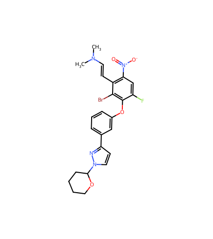 CN(C)/C=C/c1c([N+](=O)[O-])cc(F)c(Oc2cccc(-c3ccn(C4CCCCO4)n3)c2)c1Br